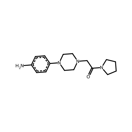 Nc1ccc(N2CCN(CC(=O)N3CCCC3)CC2)cc1